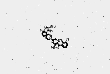 CC(C)(C)[S@@+]([O-])N[C@H]1C(F)(F)CCC12CCN(c1cnc3c(-c4cccc(Cl)c4Cl)n[nH]c3n1)CC2